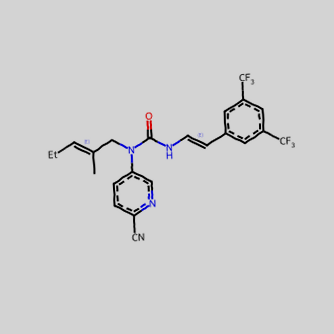 CC/C=C(\C)CN(C(=O)N/C=C/c1cc(C(F)(F)F)cc(C(F)(F)F)c1)c1ccc(C#N)nc1